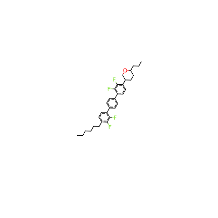 CCCCCCc1ccc(-c2ccc(-c3ccc(C4CCC(CCC)OC4)c(F)c3F)cc2)c(F)c1F